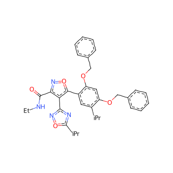 CCNC(=O)c1noc(-c2cc(C(C)C)c(OCc3ccccc3)cc2OCc2ccccc2)c1-c1noc(C(C)C)n1